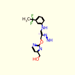 CC(F)(F)c1cccc(N/C=C(/COc2nccc(CO)n2)N=N)c1